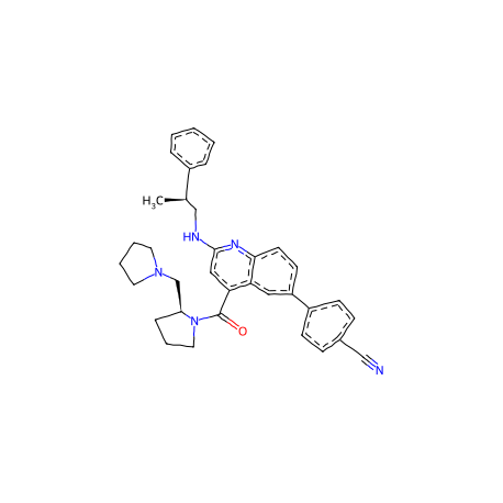 C[C@H](CNc1cc(C(=O)N2CCC[C@H]2CN2CCCC2)c2cc(-c3ccc(C#N)cc3)ccc2n1)c1ccccc1